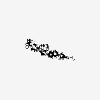 CC(C)(N)C(=O)N1CCN(C(=O)Nc2ccn(-c3ccc4c(c3)OCC(N3CC5C(N)C5C3)C4)c(=O)n2)CC1.Cl